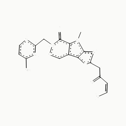 Cn1c2nc(CC(=N)/C=C\N)sc2c2cnn(Cc3nccc(N)n3)c(=O)c21